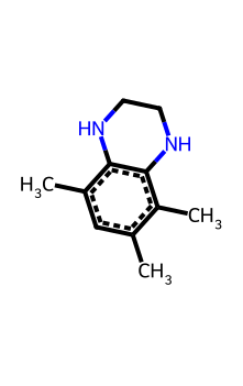 Cc1cc(C)c2c(c1C)NCCN2